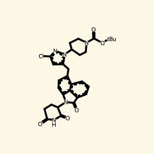 CC(C)(C)OC(=O)N1CCC(n2nc(Cl)cc2Cc2ccc3c4c(cccc24)C(=O)N3C2CCC(=O)NC2=O)CC1